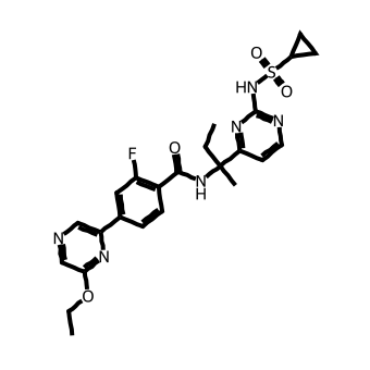 CCOc1cncc(-c2ccc(C(=O)NC(C)(CC)c3ccnc(NS(=O)(=O)C4CC4)n3)c(F)c2)n1